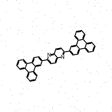 c1ccc2c(c1)c1ccccc1c1cc(-c3ccc4nc(-c5ccc6c7ccccc7c7ccccc7c6c5)ccc4n3)ccc21